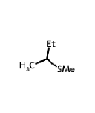 [CH]SC(C)CC